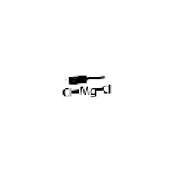 [C]#CC.[Cl][Mg][Cl]